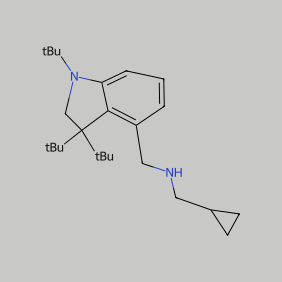 CC(C)(C)N1CC(C(C)(C)C)(C(C)(C)C)c2c(CNCC3CC3)cccc21